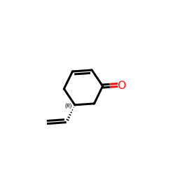 C=C[C@@H]1CC=CC(=O)C1